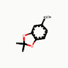 COc1ccc2c(c1)OC(C)(C)O2